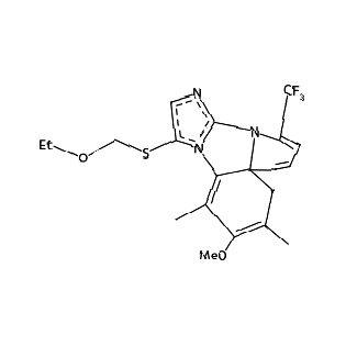 CCOCSc1cnc2n1C1=C(C)C(OC)=C(C)CC13C=CC=C(C(F)(F)F)N23